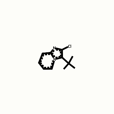 CC(C)(C)c1c(Cl)nc2ccccn12